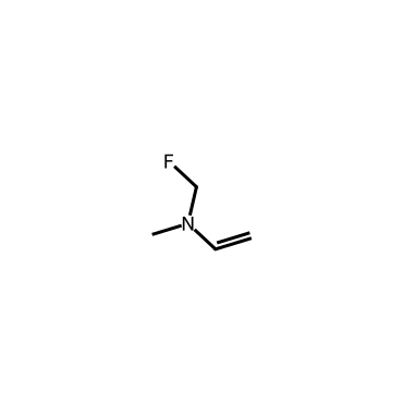 C=CN(C)CF